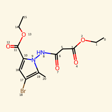 CCOC(=O)CC(=O)Nn1c(C(=O)OCC)cc(Br)c1C